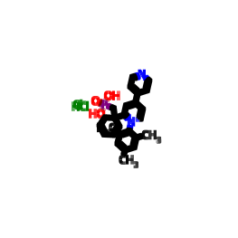 Cc1cc(C)c(-[n+]2ccc(-c3ccncc3)cc2C2(CP(=O)(O)O)C=CC=CC2)c(C)c1.Cl.[Cl-]